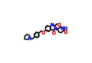 Cc1nc2ccc(OCc3ccc(CN4CCCCC4)cc3)cc2c(=O)n1C1CCC(=O)NC1=O